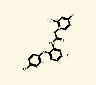 Cc1ccc(Nc2ccccc2NC(=O)C[n+]2ccc(Cl)cc2C)cc1.[Cl-]